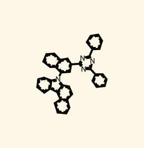 c1ccc(-c2nc(-c3ccccc3)nc(-c3cc(-n4c5ccccc5c5c6ccccc6ccc54)c4ccccc4c3)n2)cc1